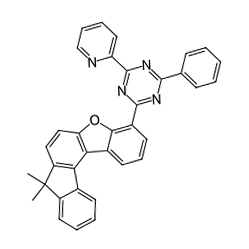 CC1(C)c2ccccc2-c2c1ccc1oc3c(-c4nc(-c5ccccc5)nc(-c5ccccn5)n4)cccc3c21